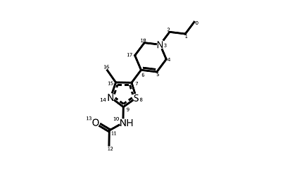 CCCN1CC=C(c2sc(NC(C)=O)nc2C)CC1